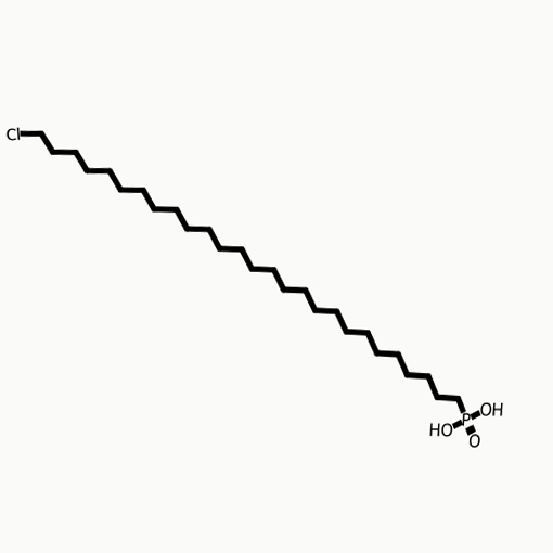 O=P(O)(O)CCCCCCCCCCCCCCCCCCCCCCCCCCCCl